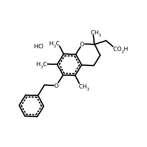 Cc1c(C)c2c(c(C)c1OCc1ccccc1)CCC(C)(CC(=O)O)O2.Cl